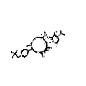 CO[C@]1(C)C[C@@H](C)CN(C)C(C2CCN(CC(F)(F)F)CC2)COC(=O)C(C)(C)C(=O)[C@H](C)[C@H]1O[C@@H]1O[C@H](C)C[C@H](N(C)C)[C@H]1O